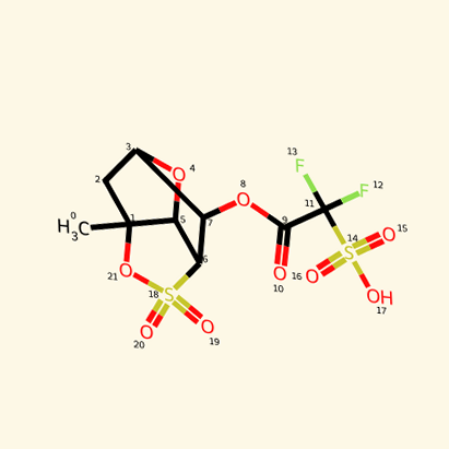 CC12CC3OC1C(C3OC(=O)C(F)(F)S(=O)(=O)O)S(=O)(=O)O2